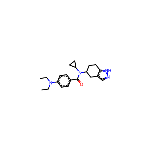 CCN(CC)c1ccc(C(=O)N(C2CC2)C2CCc3[nH]ncc3C2)cc1